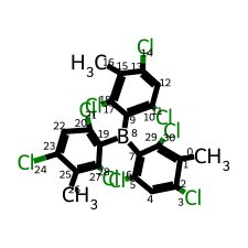 Cc1c(Cl)cc(Cl)c(B(c2c(Cl)cc(Cl)c(C)c2Cl)c2c(Cl)cc(Cl)c(C)c2Cl)c1Cl